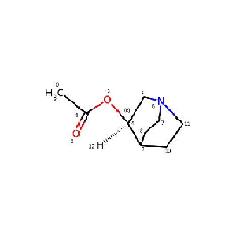 CC(=O)O[C@H]1CN2CCC1CC2